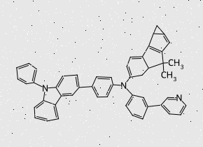 CC1(C)C2=C(C3=CC=C(N(c4ccc(-c5ccc6c(c5)c5ccccc5n6-c5ccccc5)cc4)c4cccc(-c5cccnc5)c4)CC31)C1CC1=C2